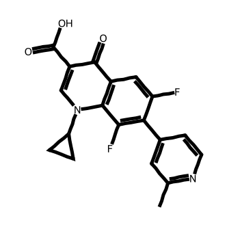 Cc1cc(-c2c(F)cc3c(=O)c(C(=O)O)cn(C4CC4)c3c2F)ccn1